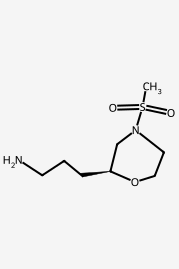 CS(=O)(=O)N1CCO[C@@H](CCCN)C1